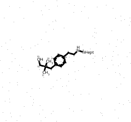 CCCCCCCNCCc1ccc(CC(C)(C)CO)cc1